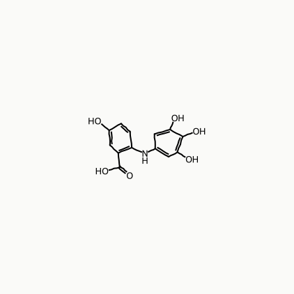 O=C(O)c1cc(O)ccc1Nc1cc(O)c(O)c(O)c1